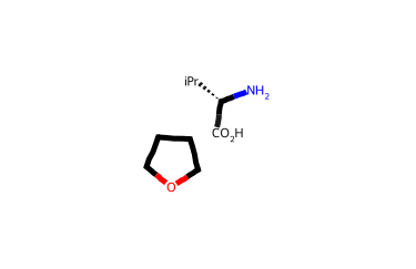 C1CCOC1.CC(C)[C@H](N)C(=O)O